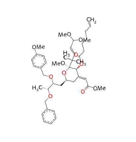 C=CCCCCC(=O)O[C@H]1/C(=C/C(=O)OC)C[C@@H](CC(OCc2ccc(OC)cc2)[C@@H](C)OCc2ccccc2)O[C@@]1(OC)C(C)(C)/C=C/C(OC)OC